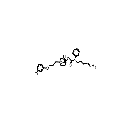 C=CCCCN(C(=O)O[C@H]1C[N+]2(CCCOc3cccc(O)c3)CCC1CC2)c1ccccc1